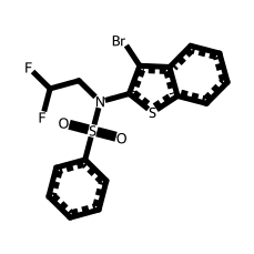 O=S(=O)(c1ccccc1)N(CC(F)F)c1sc2ccccc2c1Br